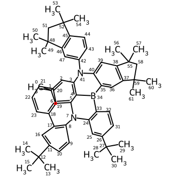 Cc1cc2c3c(c1)N(c1ccc(C(C)(C)C)cc1-c1ccccc1)c1cc(C(C)(C)C)ccc1B3c1cc3c(cc1N2c1ccc2c(c1)C(C)(C)CC2(C)C)C(C)(C)CC3(C)C